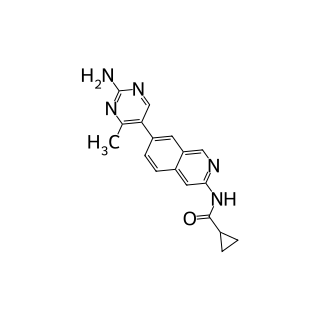 Cc1nc(N)ncc1-c1ccc2cc(NC(=O)C3CC3)ncc2c1